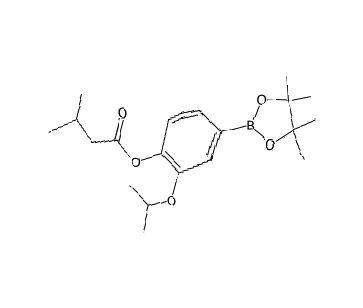 CC(C)CC(=O)Oc1ccc(B2OC(C)(C)C(C)(C)O2)cc1OC(C)C